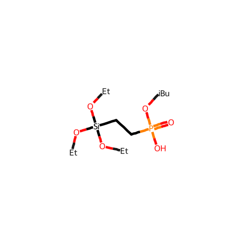 CCO[Si](CCP(=O)(O)OC(C)CC)(OCC)OCC